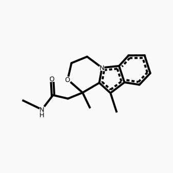 CNC(=O)CC1(C)OCCn2c1c(C)c1ccccc12